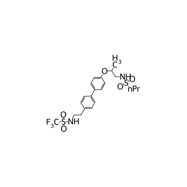 CCCS(=O)(=O)NCC(C)Oc1ccc(-c2ccc(CCNS(=O)(=O)C(F)(F)F)cc2)cc1